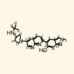 Cn1cc2cc(-c3ccc4cc(N5CC[C@@H](NC(C)(C)C)C5)cnc4n3)c(O)cc2n1